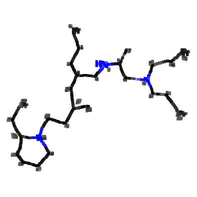 CC(C)CCC(CNC(C)CN(CCC(C)C)CCC(C)C)CC(C)CCN1CCCCC1CC(C)C